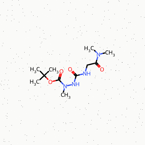 CN(C)C(=O)CNC(=O)NN(C)C(=O)OC(C)(C)C